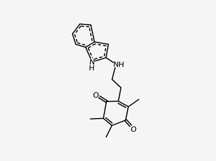 CC1=C(C)C(=O)C(CCNc2cc3ccccc3[nH]2)=C(C)C1=O